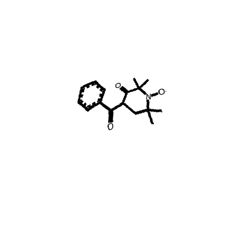 CC1(C)CC(C(=O)c2ccccc2)C(=O)C(C)(C)N1[O]